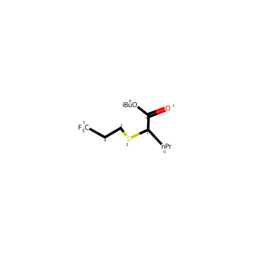 CCCC(SCCC(F)(F)F)C(=O)OCC(C)C